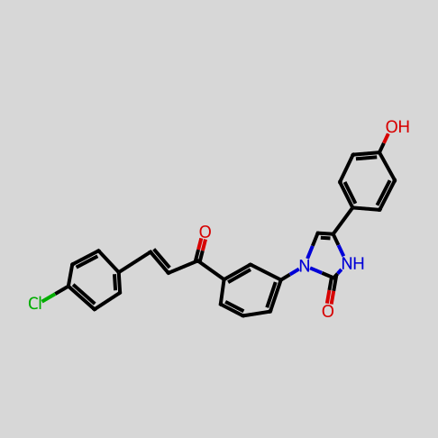 O=C(/C=C/c1ccc(Cl)cc1)c1cccc(-n2cc(-c3ccc(O)cc3)[nH]c2=O)c1